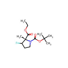 CCOC(=O)[C@@]1(C)C(F)CCN1C(=O)OC(C)(C)C